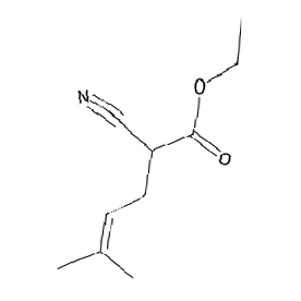 CCOC(=O)C(C#N)CC=C(C)C